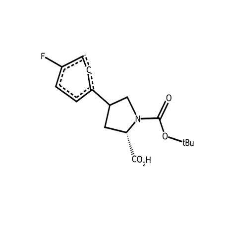 CC(C)(C)OC(=O)N1CC(c2ccc(F)cc2)C[C@H]1C(=O)O